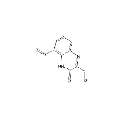 O=Cc1nc2cccc(N=O)c2[nH]c1=O